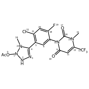 CC(=O)ON1NN=C(c2cc(-n3c(=O)cc(C(F)(F)F)n(C)c3=O)c(F)cc2Cl)N1C